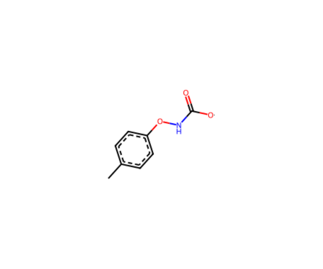 Cc1ccc(ONC([O])=O)cc1